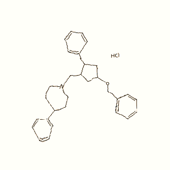 Cl.c1ccc(COC2CC(CN3CCC(c4ccccc4)CC3)C(c3ccccc3)C2)cc1